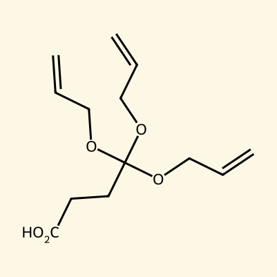 C=CCOC(CCC(=O)O)(OCC=C)OCC=C